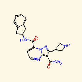 NC(=O)c1c(C2CNC2)nn2c(C(=O)NC3Cc4ccccc4C3)ccnc12